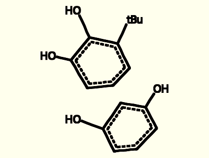 CC(C)(C)c1cccc(O)c1O.Oc1cccc(O)c1